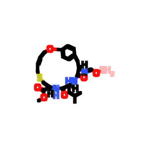 BOC=N[C@H]1Cc2ccc(cc2)OCC=CCSC[C@@H](C(=O)OC)NC(=O)[C@H](CC(C)C)NC1=O